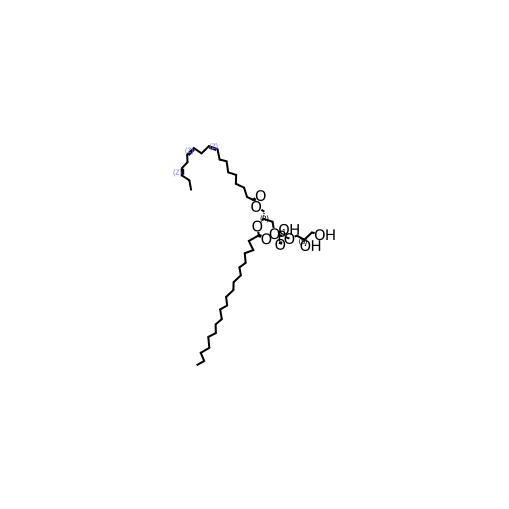 CC/C=C\C/C=C\C/C=C\CCCCCCCC(=O)OC[C@H](COP(=O)(O)OC[C@@H](O)CO)OC(=O)CCCCCCCCCCCCCCCCCCC